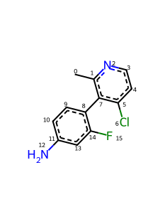 Cc1nccc(Cl)c1-c1ccc(N)cc1F